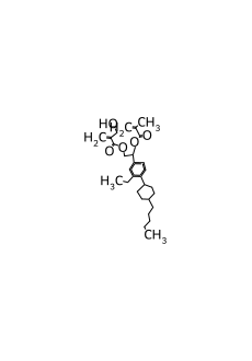 C=C(C)C(=O)OCC(COC(=O)C(=C)CO)c1ccc(C2CCC(CCCCC)CC2)c(CC)c1